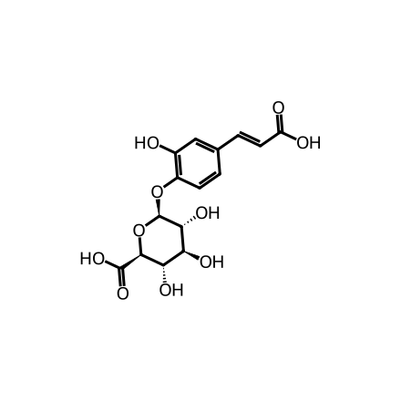 O=C(O)/C=C/c1ccc(O[C@@H]2O[C@H](C(=O)O)[C@@H](O)[C@H](O)[C@H]2O)c(O)c1